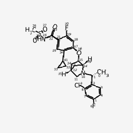 C[C@H](c1ccc(F)cc1Cl)N1C[C@H]2C[C@@H]1[C@H](Oc1cc(F)c(C(=O)NS(C)(=O)=O)cc1C1CC1)C2